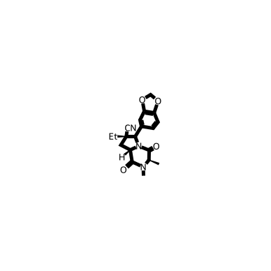 CC[C@]1(C#N)C[C@H]2C(=O)N(C)[C@H](C)C(=O)N2C1c1ccc2c(c1)OCO2